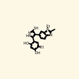 CCc1cc(-c2[nH]nc(S)c2-c2ccc3nc(C)n(CC)c3c2)c(O)cc1O